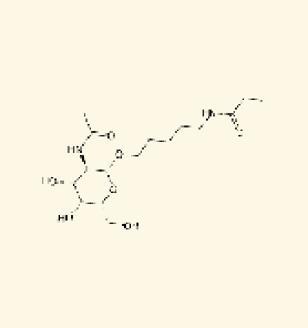 CCC(=O)NCCCCCO[C@@H]1O[C@H](CO)[C@H](O)[C@H](O)[C@H]1NC(C)=O